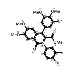 COC(=O)c1c(-c2cc(Br)c(OC)c(OC)c2)c2cc(OC)c(OC)cc2c(=O)n1-c1ccc(Br)c(C)c1